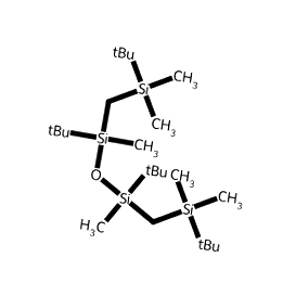 CC(C)(C)[Si](C)(C)C[Si](C)(O[Si](C)(C[Si](C)(C)C(C)(C)C)C(C)(C)C)C(C)(C)C